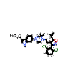 Cn1cc(C(=O)O)c2c1CC(N1CCN(CCc3c(-c4c(Cl)cccc4Cl)noc3C3CC3)C(C)(C)C1)C=C2